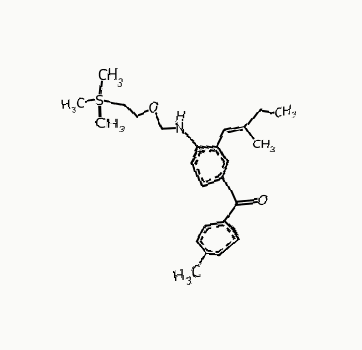 CC/C(C)=C/c1cc(C(=O)c2ccc(C)cc2)ccc1NCOCCS(C)(C)C